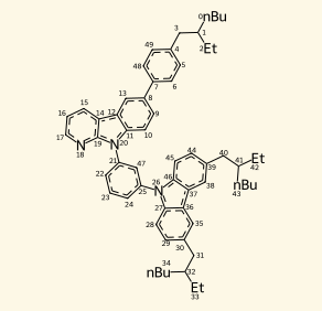 CCCCC(CC)Cc1ccc(-c2ccc3c(c2)c2cccnc2n3-c2cccc(-n3c4ccc(CC(CC)CCCC)cc4c4cc(CC(CC)CCCC)ccc43)c2)cc1